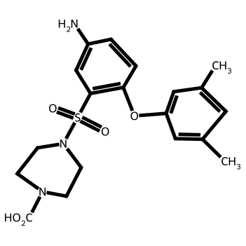 Cc1cc(C)cc(Oc2ccc(N)cc2S(=O)(=O)N2CCN(C(=O)O)CC2)c1